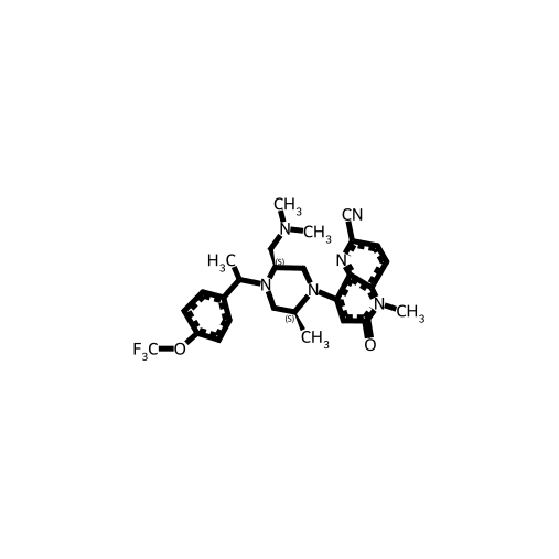 CC(c1ccc(OC(F)(F)F)cc1)N1C[C@H](C)N(c2cc(=O)n(C)c3ccc(C#N)nc23)C[C@@H]1CN(C)C